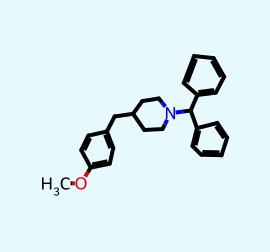 COc1ccc(CC2CCN(C(c3ccccc3)c3ccccc3)CC2)cc1